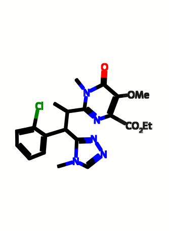 CCOC(=O)c1nc(C(C)C(c2ccccc2Cl)c2nncn2C)n(C)c(=O)c1OC